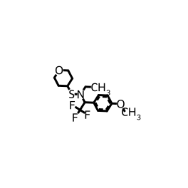 CCN(SC1CCOCC1)C(c1ccc(OC)cc1)C(F)(F)F